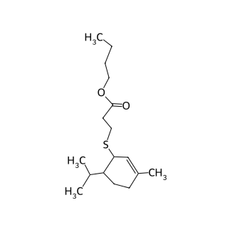 CCCCOC(=O)CCSC1C=C(C)CCC1C(C)C